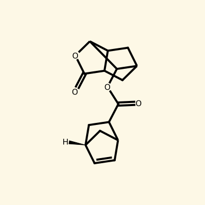 O=C(OC1C2CC3C(=O)OC1C3C2)C1C[C@H]2C=CC1C2